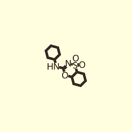 O=S1(=O)N=C(NC2CCCCC2)OC2CCCCC21